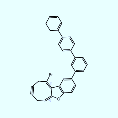 Br/C1=c2/c(oc3ccc(-c4cccc(-c5ccc(C6=CC=CCC6)cc5)c4)cc23)=C\CC#CC1